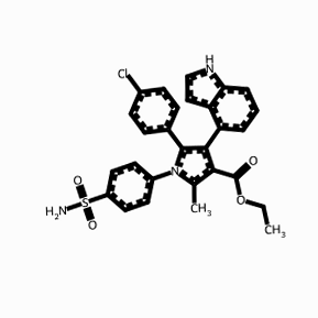 CCOC(=O)c1c(-c2cccc3[nH]ccc23)c(-c2ccc(Cl)cc2)n(-c2ccc(S(N)(=O)=O)cc2)c1C